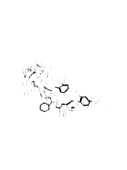 CCC(NC(=O)[C@H](CC(C)C)NC(=O)[C@@H](NC(=O)[C@H](Cc1ccccc1C)NC(=O)[C@@H](NC(=O)[C@H](Cc1cn(-c2ccc([N+](=O)[O-])cc2[N+](=O)[O-])cn1)NC(C)=O)C1CCCCC1)C(C)(C)C)B(O)O